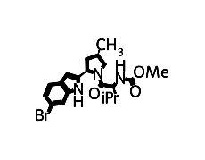 COC(=O)N[C@H](C(=O)N1C[C@@H](C)C[C@@H]1c1cc2ccc(Br)cc2[nH]1)C(C)C